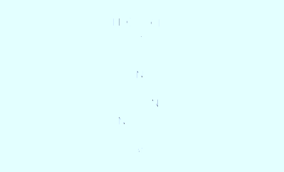 CC1(C)CCN(c2cnc(Br)cn2)CC1